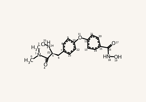 CN(C)C(=O)[C@H](Cc1ccc(Oc2ccc(C(=O)NO)cc2)cc1)NCl